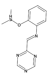 C[SiH](C)Oc1ccccc1N=Cc1ncncn1